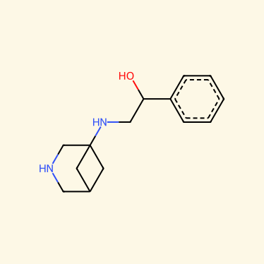 OC(CNC12CNCC(C1)C2)c1ccccc1